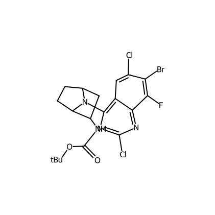 CC(C)(C)OC(=O)NC1CC2CCC1N2c1nc(Cl)nc2c(F)c(Br)c(Cl)cc12